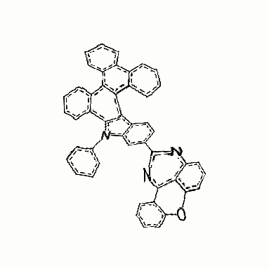 c1ccc(-n2c3cc(-c4nc5c6c(cccc6n4)Oc4ccccc4-5)ccc3c3c4c5ccccc5c5ccccc5c4c4ccccc4c32)cc1